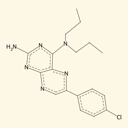 CCCN(CCC)c1nc(N)nc2ncc(-c3ccc(Cl)cc3)nc12